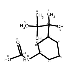 CC(C)(C)C(C)(O)C1CCCC(NC(=O)O)C1